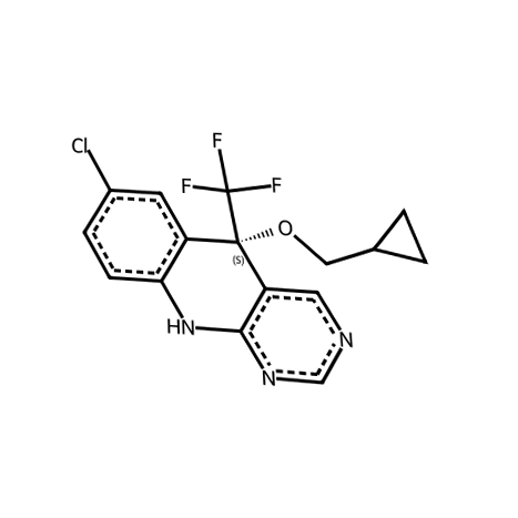 FC(F)(F)[C@]1(OCC2CC2)c2cc(Cl)ccc2Nc2ncncc21